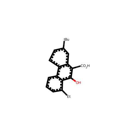 CCc1cccc2c1c(O)c(C(=O)O)c1cc(C(C)(C)C)ccc12